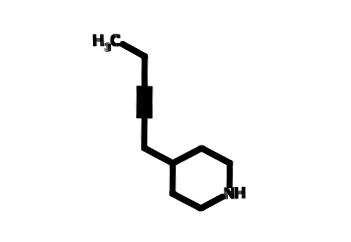 CCC#CCC1CCNCC1